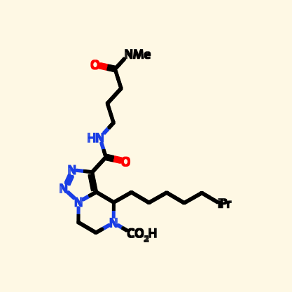 CNC(=O)CCCNC(=O)c1nnn2c1C(CCCCCC(C)C)N(C(=O)O)CC2